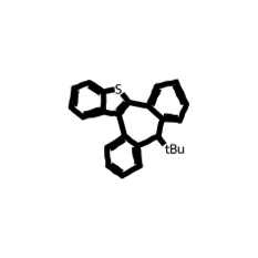 CC(C)(C)C1c2ccccc2-c2sc3ccccc3c2-c2ccccc21